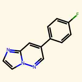 Fc1ccc(-c2cnn3ccnc3c2)cc1